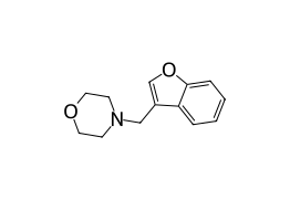 c1ccc2c(CN3CCOCC3)coc2c1